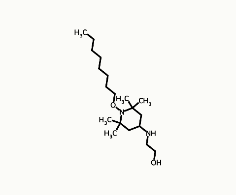 CCCCCCCCON1C(C)(C)CC(NCCO)CC1(C)C